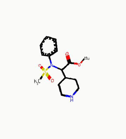 CC(C)(C)OC(=O)C(C1CCNCC1)N(c1ccccc1)S(C)(=O)=O